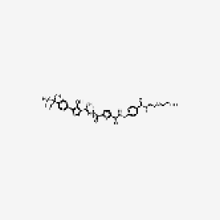 C/C(=N\NC(=O)c1ccc(C(=O)NCc2ccc(C(=O)NCCOCCO)cc2)s1)c1csc(-c2ccc(C(C)(C)C)cc2)c1O